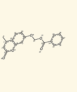 Cc1cc(=O)oc2cc(OCOC(=O)c3ccccc3)ccc12